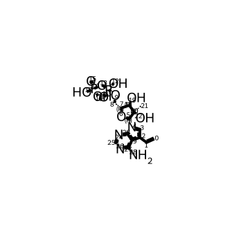 C=Cc1cn([C@@H]2O[C@H](COP(=O)(O)OP(=O)(O)O)[C@@H](O)[C@@]2(C)O)c2ncnc(N)c12